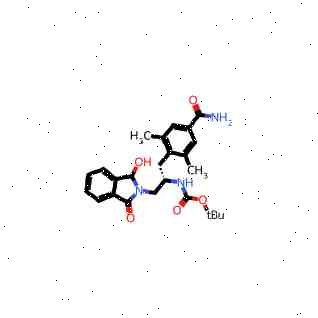 Cc1cc(C(N)=O)cc(C)c1C[C@@H](CN1C(=O)c2ccccc2C1O)NC(=O)OC(C)(C)C